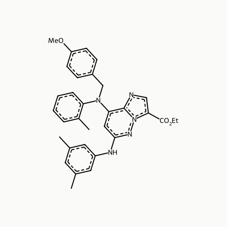 CCOC(=O)c1cnc2c(N(Cc3ccc(OC)cc3)c3ccccc3C)cc(Nc3cc(C)cc(C)c3)nn12